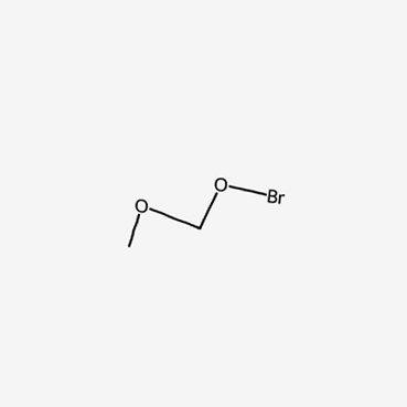 COCOBr